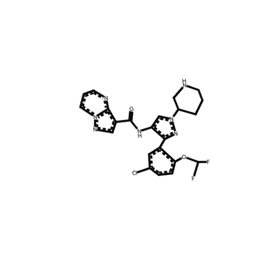 O=C(Nc1cn(C2CCCNC2)nc1-c1cc(Cl)ccc1OC(F)F)c1cnn2cccnc12